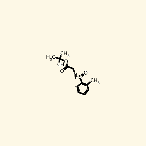 Cc1ccc[c]c1/[SH](=O)=N/CC(=O)OC(C)(C)C